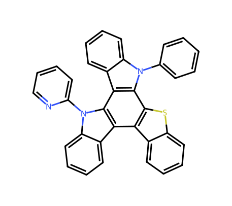 c1ccc(-n2c3ccccc3c3c2c2sc4ccccc4c2c2c4ccccc4n(-c4ccccn4)c23)cc1